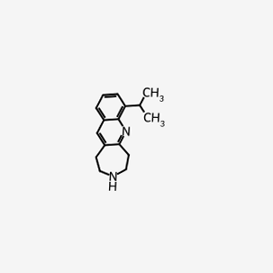 CC(C)c1cccc2cc3c(nc12)CCNCC3